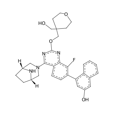 OCC1(COc2nc(N3C[C@H]4CC[C@@H](C3)N4)c3ccc(-c4cc(O)cc5ccccc45)c(F)c3n2)CCOCC1